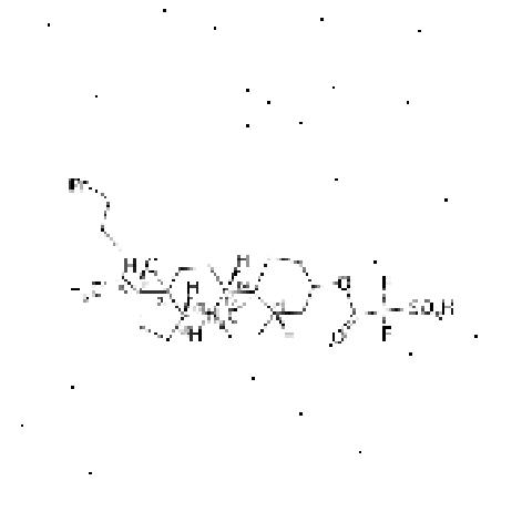 CC(C)CCC[C@@H](C)[C@H]1CC[C@H]2[C@@H]3CC[C@H]4CC(OC(=O)C(F)(F)S(=O)(=O)O)CC[C@]4(C)[C@H]3CC[C@]12C